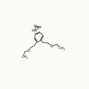 CCOCCc1ccccc1CCOCC.N1=NN1